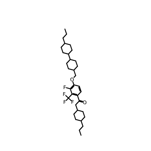 CCCC1CCC(CC(=O)c2ccc(OCC3CCC(C4CCC(CCC)CC4)CC3)c(F)c2C(F)(F)F)CC1